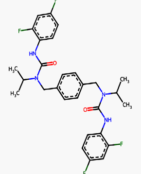 CC(C)N(Cc1ccc(CN(C(=O)Nc2ccc(F)cc2F)C(C)C)cc1)C(=O)Nc1ccc(F)cc1F